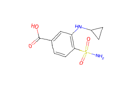 NS(=O)(=O)c1ccc(C(=O)O)cc1NC1CC1